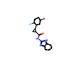 O=C(Nc1nc2ccccc2[nH]1)C1CC1c1cc(Br)ccc1F